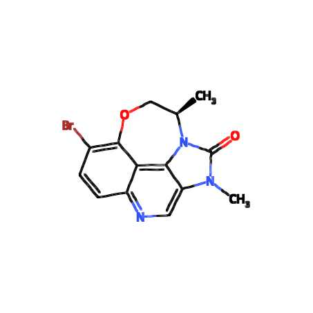 C[C@@H]1COc2c(Br)ccc3ncc4c(c23)n1c(=O)n4C